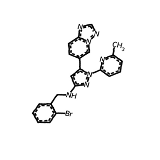 Cc1cccc(-n2nc(NCc3ccccc3Br)cc2-c2ccc3ncnn3c2)n1